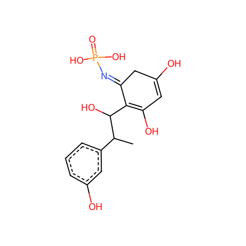 CC(c1cccc(O)c1)C(O)C1=C(O)C=C(O)CC1=NP(=O)(O)O